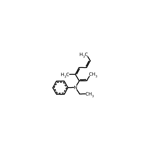 C\C=C/C=C(C)\C(=C/C)N(CC)c1ccccc1